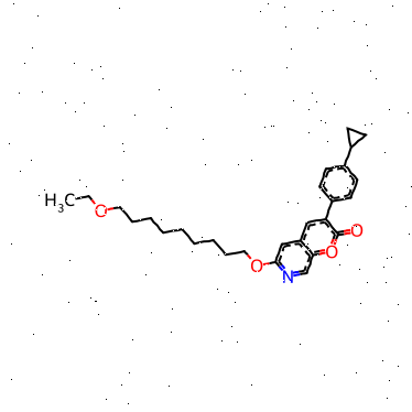 CCOCCCCCCCCCOc1cc2cc(-c3ccc(C4CC4)cc3)c(=O)oc2cn1